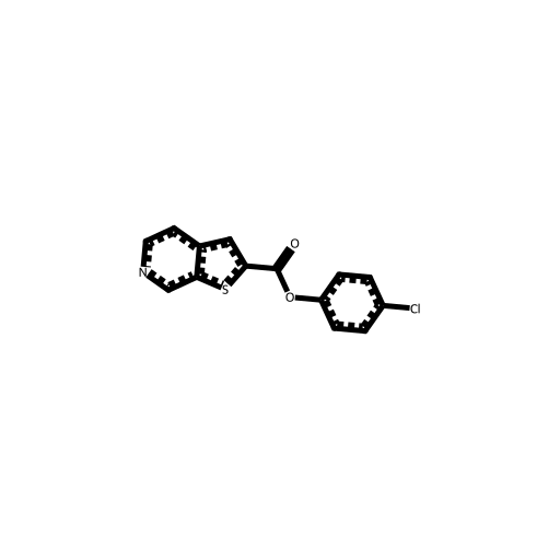 O=C(Oc1ccc(Cl)cc1)c1cc2ccncc2s1